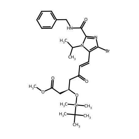 COC(=O)C[C@@H](CC(=O)C=Cc1c(Br)nc(C(=O)NCc2ccccc2)n1C(C)C)O[Si](C)(C)C(C)(C)C